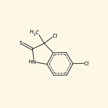 CC1(Cl)C(=S)Nc2ccc(Cl)cc21